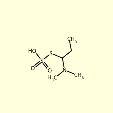 CCC(SS(=O)(=O)O)N(C)C